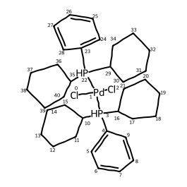 [Cl][Pd]([Cl])([PH](c1ccccc1)(C1CCCCC1)C1CCCCC1)[PH](c1ccccc1)(C1CCCCC1)C1CCCCC1